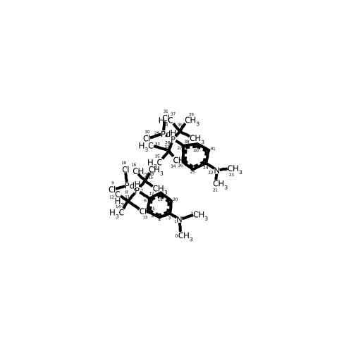 CN(C)c1ccc([PH]([Pd]([Cl])[Cl])(C(C)(C)C)C(C)(C)C)cc1.CN(C)c1ccc([PH]([Pd]([Cl])[Cl])(C(C)(C)C)C(C)(C)C)cc1